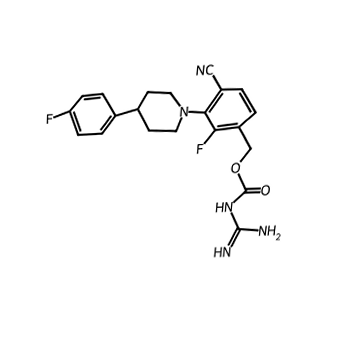 N#Cc1ccc(COC(=O)NC(=N)N)c(F)c1N1CCC(c2ccc(F)cc2)CC1